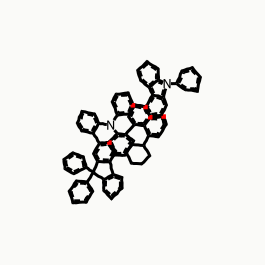 c1ccc(-n2c3ccccc3c3c(-c4cccc(N(c5ccccc5-c5ccc6c(c5)C(c5ccccc5)(c5ccccc5)c5ccccc5-6)c5ccccc5-c5cccc6cccc(C7CCCCC7)c56)c4)cccc32)cc1